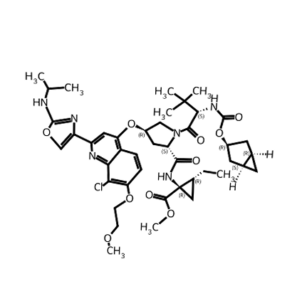 CC[C@@H]1C[C@]1(NC(=O)[C@@H]1C[C@@H](Oc2cc(-c3coc(NC(C)C)n3)nc3c(Cl)c(OCCOC)ccc23)CN1C(=O)[C@@H](NC(=O)O[C@@H]1C[C@@H]2C[C@@H]2C1)C(C)(C)C)C(=O)OC